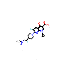 CNCC(F)=C1CCN(c2nc3c(cc2F)c(=O)c(C(=O)O)cn3C2CC2)CC1